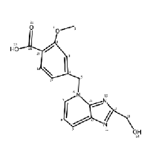 COc1cc(Cn2cccc3nc(CO)nc2-3)ccc1C(=O)O